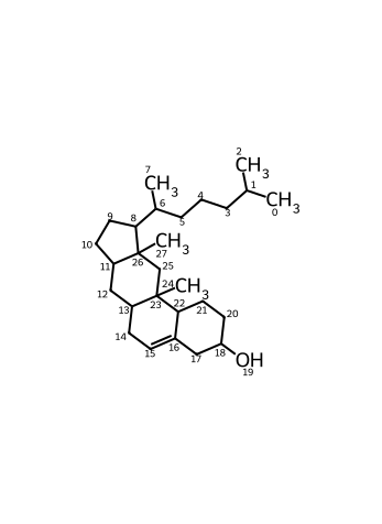 CC(C)CCCC(C)C1CCC2CC3CC=C4CC(O)CCC4C3(C)CC21C